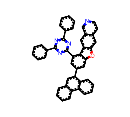 c1ccc(-c2nc(-c3ccccc3)nc(-c3cc(-c4cc5ccccc5c5ccccc45)cc4oc5cc6ccncc6cc5c34)n2)cc1